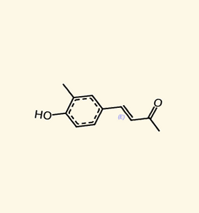 CC(=O)/C=C/c1ccc(O)c(C)c1